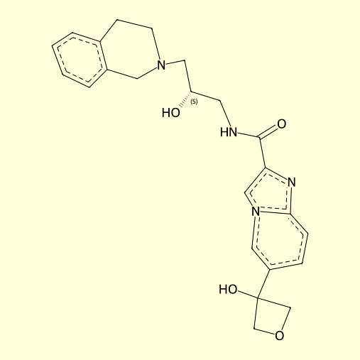 O=C(NC[C@H](O)CN1CCc2ccccc2C1)c1cn2cc(C3(O)COC3)ccc2n1